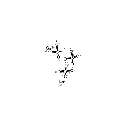 O=S(=O)([O-])[O-].O=S(=O)([O-])[O-].O=S(=O)([O-])[O-].[Ga+3].[La+3]